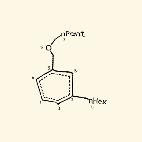 CCCCCCc1cccc(OCCCCC)c1